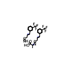 C/C(=N/OC/C=C/c1cccc(C(F)(F)F)c1)C(=O)O.NOC/C=C/c1cccc(C(F)(F)F)c1